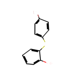 Oc1ccccc1Sc1ccc(Br)cc1